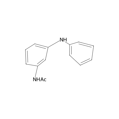 CC(=O)Nc1cccc(Nc2ccccc2)c1